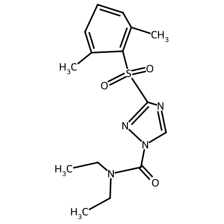 CCN(CC)C(=O)n1cnc(S(=O)(=O)c2c(C)cccc2C)n1